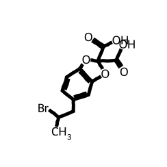 CC(Br)Cc1ccc2c(c1)OC(C(=O)O)(C(=O)O)O2